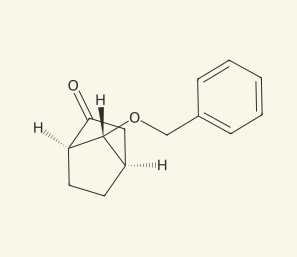 O=C1C[C@H]2CC[C@@H]1[C@@H]2OCc1ccccc1